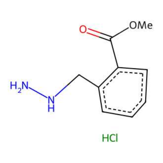 COC(=O)c1ccccc1CNN.Cl